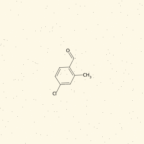 Cc1cc(Cl)ccc1[C]=O